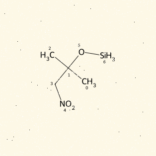 CC(C)(C[N+](=O)[O-])O[SiH3]